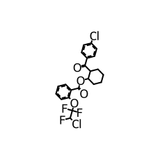 O=C(OC1CCCCC1C(=O)c1ccc(Cl)cc1)c1ccccc1OC(F)(F)C(F)Cl